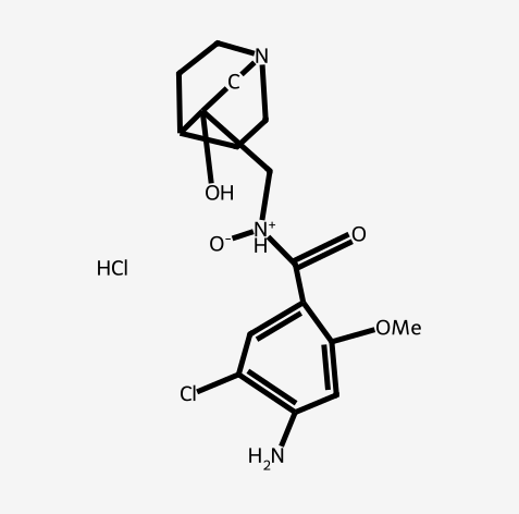 COc1cc(N)c(Cl)cc1C(=O)[NH+]([O-])CC1(O)CN2CCC1CC2.Cl